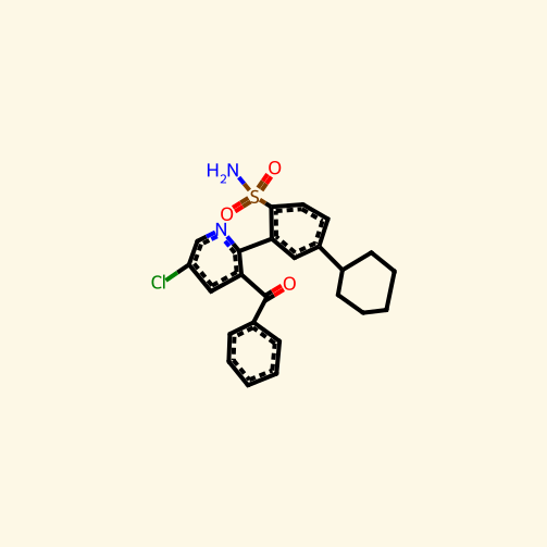 NS(=O)(=O)c1ccc(C2CCCCC2)cc1-c1ncc(Cl)cc1C(=O)c1ccccc1